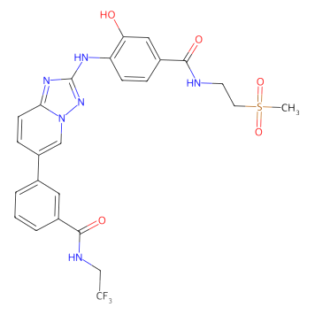 CS(=O)(=O)CCNC(=O)c1ccc(Nc2nc3ccc(-c4cccc(C(=O)NCC(F)(F)F)c4)cn3n2)c(O)c1